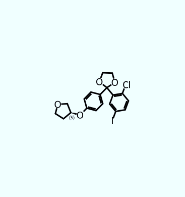 Clc1ccc(I)cc1C1(c2ccc(O[C@H]3CCOC3)cc2)OCCO1